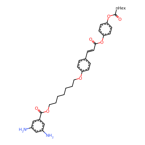 CCCCCCC(=O)Oc1ccc(OC(=O)C=Cc2ccc(OCCCCCCCOC(=O)c3cc(N)cc(N)c3)cc2)cc1